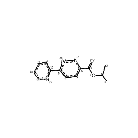 CC(C)OC(=O)c1ccc(-c2ccccn2)nn1